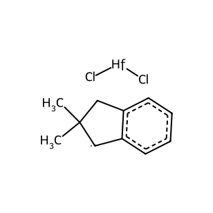 CC1(C)[CH]c2ccccc2C1.[Cl][Hf][Cl]